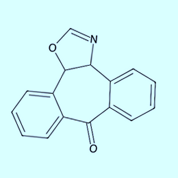 O=C1c2ccccc2C2N=COC2c2ccccc21